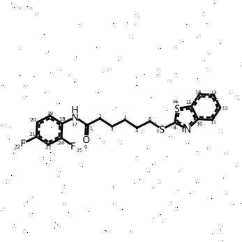 O=C(CCCCCSc1nc2ccccc2s1)Nc1ccc(F)cc1F